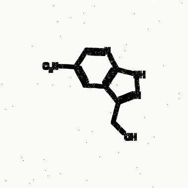 O=[N+]([O-])c1cnc2[nH]nc(CO)c2c1